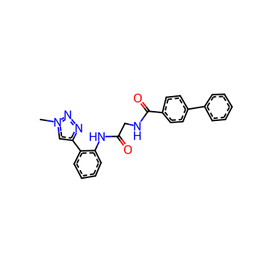 Cn1cc(-c2ccccc2NC(=O)CNC(=O)c2ccc(-c3ccccc3)cc2)nn1